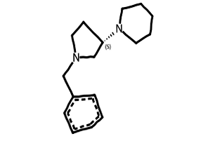 c1ccc(CN2CC[C@H](N3CCCCC3)C2)cc1